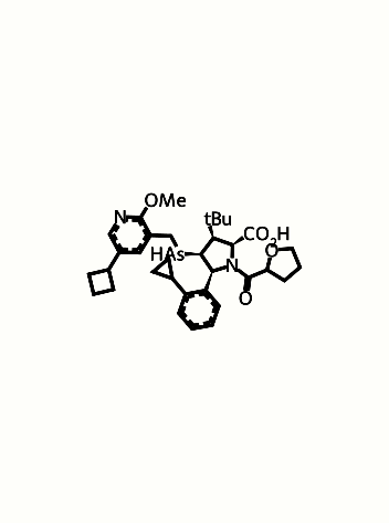 COc1ncc(C2CCC2)cc1C[AsH][C@H]1[C@@H](C(C)(C)C)[C@@H](C(=O)O)N(C(=O)C2CCCO2)[C@H]1c1ccccc1C1CC1